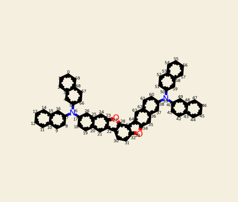 c1ccc2cc(N(c3ccc4ccccc4c3)c3ccc4cc5c(cc4c3)oc3c5ccc4oc5cc6cc(N(c7ccc8ccccc8c7)c7ccc8ccccc8c7)ccc6cc5c43)ccc2c1